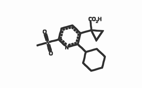 CS(=O)(=O)c1ccc(C2(C(=O)O)CC2)c(C2CCCCC2)n1